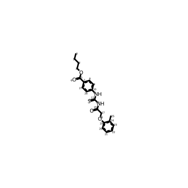 CCCCOC(=O)c1ccc(NC(=S)NC(=O)COc2ccccc2C)cc1